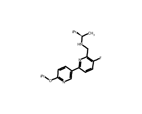 CC(C)Oc1ccc(-c2ccc(F)c(CN[C@H](C)C(C)C)n2)cn1